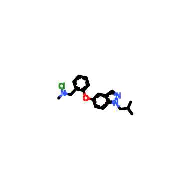 CC(C)Cn1ncc2cc(Oc3ccccc3CN(C)Cl)ccc21